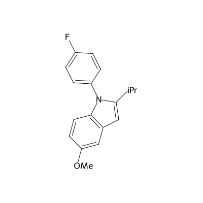 COc1ccc2c(c1)cc(C(C)C)n2-c1ccc(F)cc1